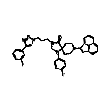 O=C1N(CCCn2cc(-c3cccc(F)c3)nn2)CN(c2ccc(F)cc2)C12CCN(C1Cc3cccc4cccc1c34)CC2